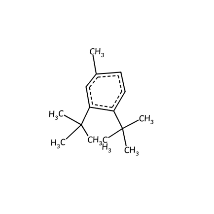 Cc1ccc(C(C)(C)C)c(C(C)(C)C)c1